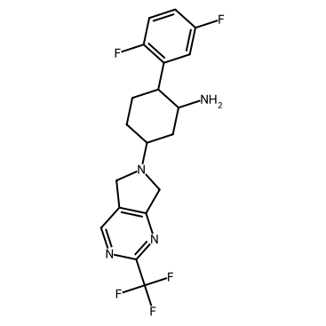 NC1CC(N2Cc3cnc(C(F)(F)F)nc3C2)CCC1c1cc(F)ccc1F